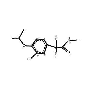 CC(C)Oc1ccc(C(F)(F)C(=O)NF)cc1Br